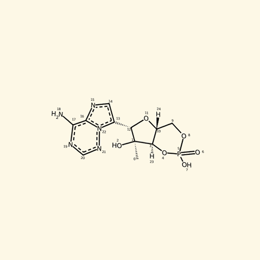 C[C@@]1(O)[C@@H]2OP(=O)(O)OC[C@H]2O[C@H]1c1cnc2c(N)ncnn12